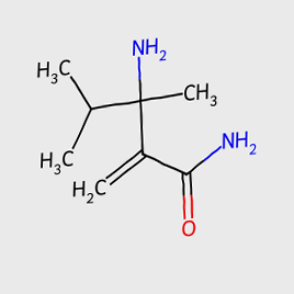 C=C(C(N)=O)C(C)(N)C(C)C